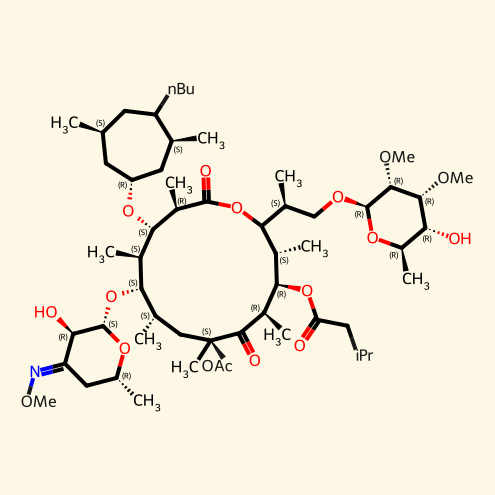 CCCCC1C[C@H](C)C[C@@H](O[C@H]2[C@H](C)[C@@H](O[C@@H]3O[C@H](C)CC(=NOC)[C@H]3O)[C@@H](C)C[C@](C)(OC(C)=O)C(=O)[C@H](C)[C@H](OC(=O)CC(C)C)[C@@H](C)C([C@@H](C)CO[C@@H]3O[C@H](C)[C@@H](O)[C@@H](OC)[C@H]3OC)OC(=O)[C@@H]2C)C[C@@H]1C